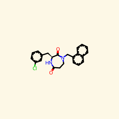 O=C1CCN(Cc2cccc3ccccc23)C(=O)[C@H](Cc2cccc(Cl)c2)N1